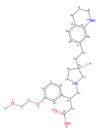 COCCOc1cccc(C(CC(=O)O)CN2CCC(F)(CCc3ccc4c(c3)NCCC4)C2)c1